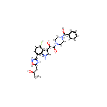 CNC(=O)Cc1nc(-c2ccc(F)c3c(C(=O)C(=O)N4CCN(C(=O)c5ccccc5)CC4)c[nH]c23)no1